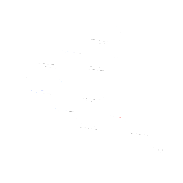 COCCOc1ccc(Nc2nc(Nc3cccc(N)c3)c(F)c[n+]2[O-])cc1